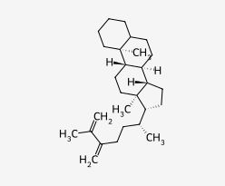 C=C(C)C(=C)CC[C@@H](C)[C@H]1CC[C@H]2[C@@H]3CCC4CCCC[C@]4(C)[C@H]3CC[C@]12C